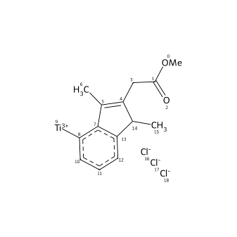 COC(=O)CC1=C(C)c2[c]([Ti+3])cccc2C1C.[Cl-].[Cl-].[Cl-]